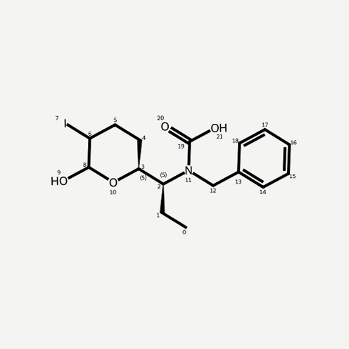 CC[C@@H]([C@@H]1CCC(I)C(O)O1)N(Cc1ccccc1)C(=O)O